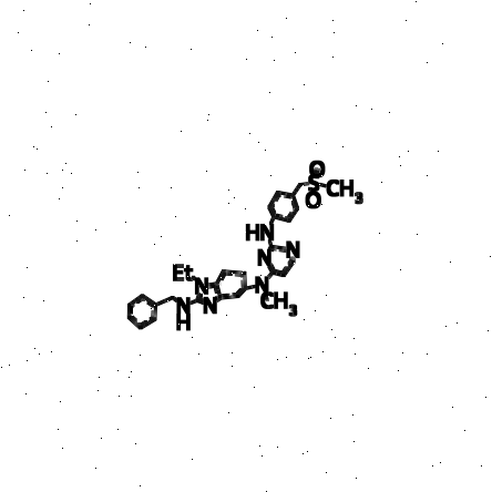 CCn1c(NCc2ccccc2)nc2cc(N(C)c3ccnc(Nc4ccc(CS(C)(=O)=O)cc4)n3)ccc21